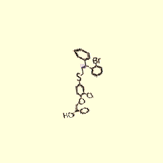 O=C(O)COc1ccc(SC/C=C(/c2ccccc2)c2ccccc2Br)cc1Cl